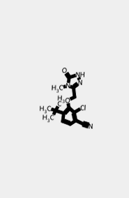 Cn1c(COc2c(C(C)(C)C)ccc(C#N)c2Cl)n[nH]c1=O